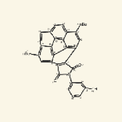 CCCCc1cc2c3c(=O)n(-c4cccc(C)c4)c(=O)c3c3cc(CCCC)c4ccc5ccc1c1c5c4c3c21